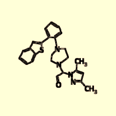 Cc1cc(C)n(C(C=O)N2CCN(c3ccccc3-c3cc4ccccc4s3)CC2)n1